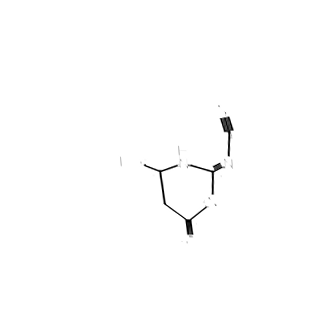 N#C/N=C1/NC(=O)CC(O)N1